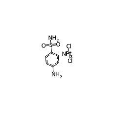 N.Nc1ccc(S(N)(=O)=O)cc1.[Cl][Pt][Cl]